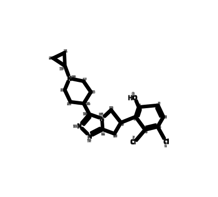 Oc1ccc(Cl)c(Cl)c1C1Cc2nnc(C3CCN(C4CC4)CC3)n2C1